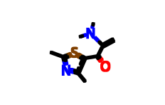 C=C(C(=O)c1sc(C)nc1C)N(C)C